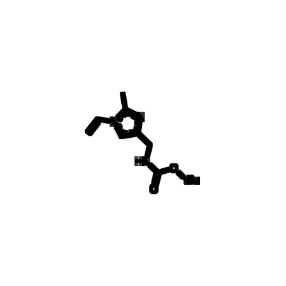 C=Cn1cc(CNC(=O)OC(C)(C)C)nc1C